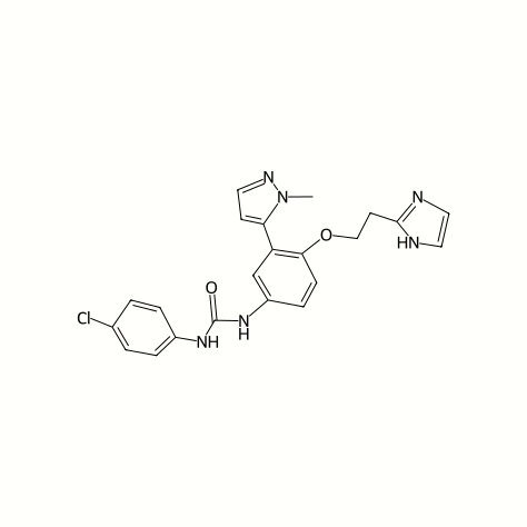 Cn1nccc1-c1cc(NC(=O)Nc2ccc(Cl)cc2)ccc1OCCc1ncc[nH]1